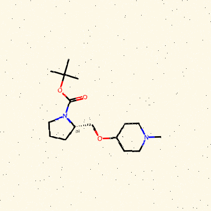 CN1CCC(OC[C@@H]2CCCN2C(=O)OC(C)(C)C)CC1